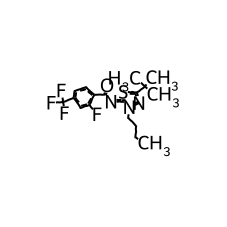 CCCCn1nc(C(C)(C)C)s/c1=N\C(=O)c1ccc(C(F)(F)F)cc1F